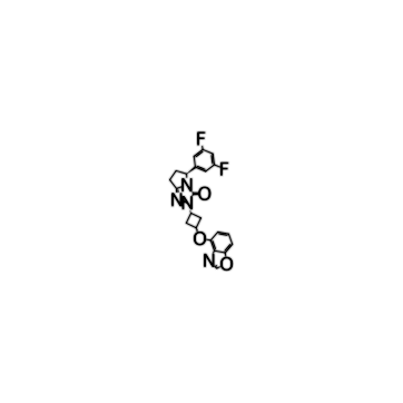 O=c1n2c(nn1[C@H]1C[C@H](Oc3cccc4ocnc34)C1)CC[C@H]2c1cc(F)cc(F)c1